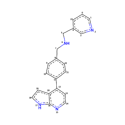 c1cncc(CNCc2ccc(-c3ccnc4[nH]ccc34)cc2)c1